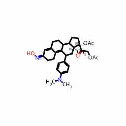 CC(=O)OCC(=O)[C@]1(OC(C)=O)CCC2C3CCC4=C/C(=N\O)CCC4=C3C(c3ccc(N(C)C)cc3)C[C@@]21C